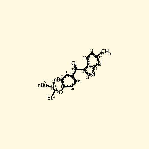 CCCCN(CCCC)C(CC)Oc1ccc(C(=O)c2cnc3nc(C)ccn23)cc1